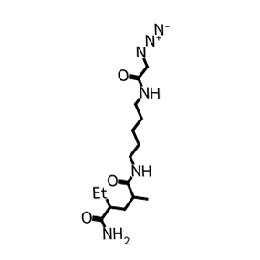 CCC(CC(C)C(=O)NCCCCCNC(=O)CN=[N+]=[N-])C(N)=O